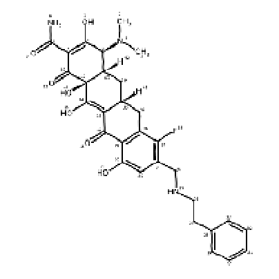 CN(C)[C@@H]1C(O)=C(C(N)=O)C(=O)[C@@]2(O)C(O)=C3C(=O)c4c(O)cc(CNCCc5ccccc5)c(F)c4C[C@H]3C[C@@H]12